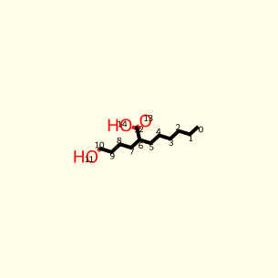 CCCCCCC(CCCCO)C(=O)O